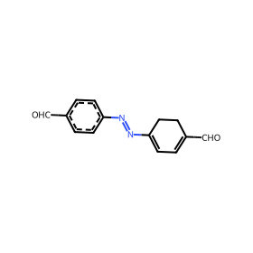 O=CC1=CC=C(/N=N/c2ccc(C=O)cc2)CC1